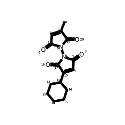 CC1=CC(=O)N(N2C(=O)C=C(C3CCCCC3)C2=O)C1=O